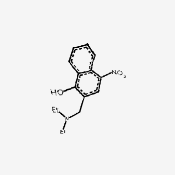 CCN(CC)Cc1cc([N+](=O)[O-])c2ccccc2c1O